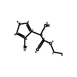 CCOC(=O)C(O)c1cscc1Br